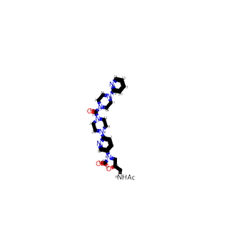 CC(=O)NCC1CN(c2ccc(N3CCN(C(=O)N4CCN(c5ccccn5)CC4)CC3)nc2)C(=O)O1